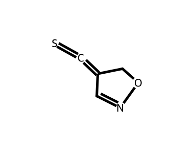 S=C=C1C=NOC1